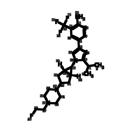 CC(C)c1nc(-c2cnc(N)c(C(F)(F)F)c2)cn1[C@H]1[C@@H]2CC(N3CCN(CCF)CC3)C[C@@H]21